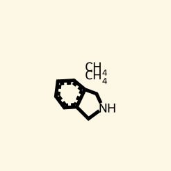 C.C.c1ccc2c(c1)CNC2